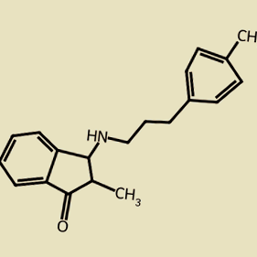 Cc1ccc(CCCNC2c3ccccc3C(=O)C2C)cc1